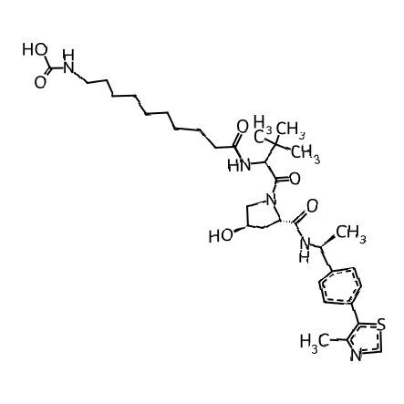 Cc1ncsc1-c1ccc([C@H](C)NC(=O)[C@@H]2C[C@@H](O)CN2C(=O)C(NC(=O)CCCCCCCCCNC(=O)O)C(C)(C)C)cc1